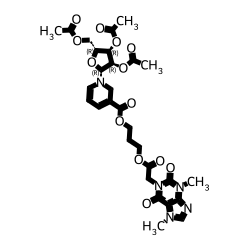 CC(=O)OC[C@H]1O[C@@H](N2C=CC=C(C(=O)OCCCOC(=O)Cn3c(=O)c4c(ncn4C)n(C)c3=O)C2)[C@H](OC(C)=O)[C@@H]1OC(C)=O